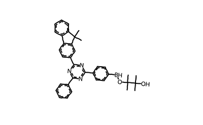 CC1(C)c2ccccc2-c2ccc(-c3nc(-c4ccccc4)nc(-c4ccc(BOC(C)(C)C(C)(C)O)cc4)n3)cc21